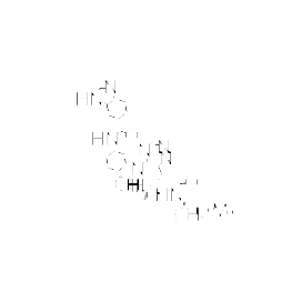 COC[C@H](C)NC(=O)C1CN2N=CN=C(Nc3cc(NC(=O)c4ccc5nc[nH]c5c4)ccc3C)C2=C1C